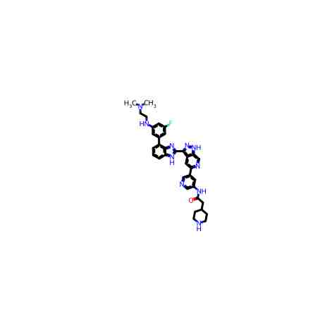 CN(C)CCNc1cc(F)cc(-c2cccc3[nH]c(-c4n[nH]c5cnc(-c6cncc(NC(=O)CC7CCNCC7)c6)cc45)nc23)c1